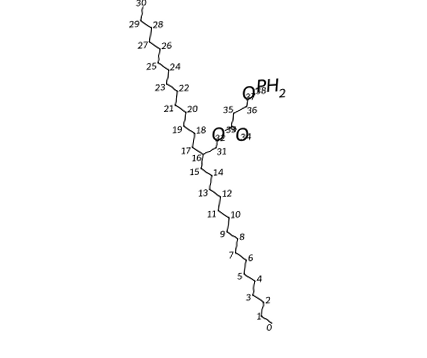 CCCCCCCCCCCCCCCCC(CCCCCCCCCCCCCC)COC(=O)CCOP